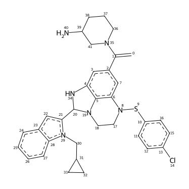 C=C(c1cc2c3c(c1)N(Sc1ccc(Cl)cc1)CCN3C(c1cc3ccccc3n1CC1CC1)N2)N1CCCC(N)C1